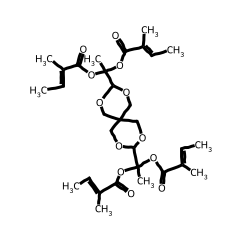 CC=C(C)C(=O)OC(C)(OC(=O)C(C)=CC)C1OCC2(CO1)COC(C(C)(OC(=O)C(C)=CC)OC(=O)C(C)=CC)OC2